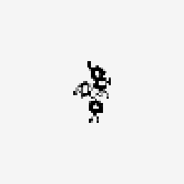 CCc1ccc2ncc(S(=O)(=O)c3ccc(OC)cc3)c(N3CCN(C)CC3)c2c1